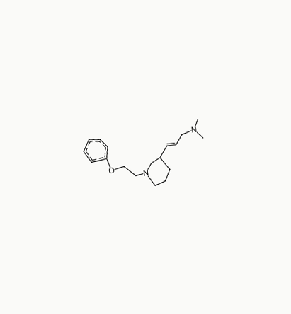 CN(C)CC=CC1CCCN(CCOc2ccccc2)C1